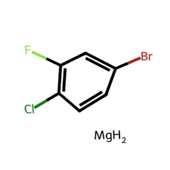 Fc1cc(Br)ccc1Cl.[MgH2]